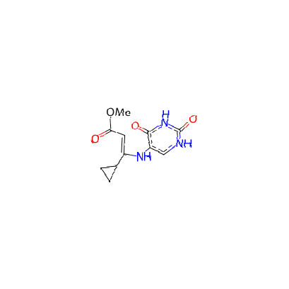 COC(=O)C=C(Nc1c[nH]c(=O)[nH]c1=O)C1CC1